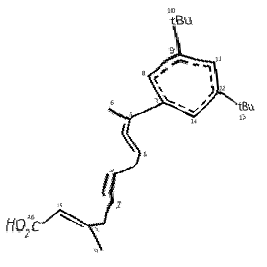 CC(C=CC=C(C)c1cc(C(C)(C)C)cc(C(C)(C)C)c1)=CC(=O)O